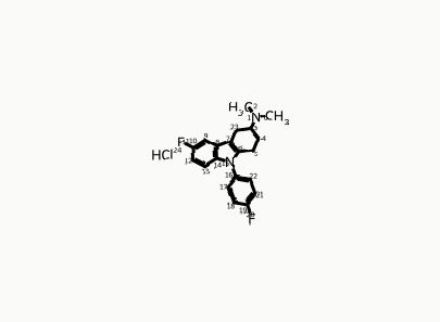 CN(C)C1CCc2c(c3cc(F)ccc3n2-c2ccc(F)cc2)C1.Cl